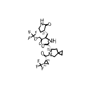 O=C(COC(F)(F)F)C(C[C@@H]1CCNC1=O)NC(=O)[C@@H]1CC2(CC2)CN1C(=O)[C@@H]1C[C@H]1C(F)(F)F